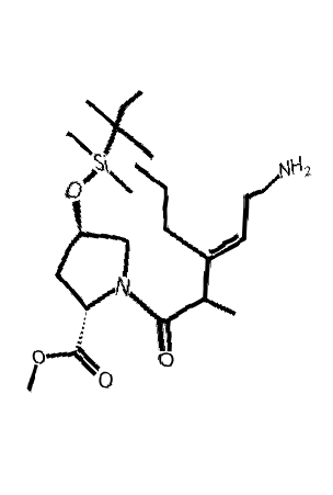 CCC/C(=C\CN)C(C)C(=O)N1C[C@H](O[Si](C)(C)C(C)(C)C)C[C@H]1C(=O)OC